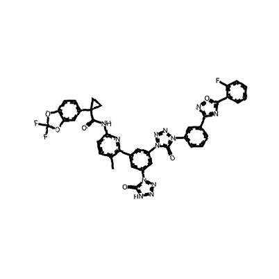 Cc1ccc(NC(=O)C2(c3ccc4c(c3)OC(F)(F)O4)CC2)nc1-c1cc(-n2nn[nH]c2=O)cc(-n2nnn(-c3cccc(-c4noc(-c5ccccc5F)n4)c3)c2=O)c1